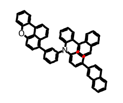 c1cc(-c2ccc3c4c(cccc24)-c2ccccc2O3)cc(N(c2ccc(-c3ccc4ccccc4c3)cc2)c2ccccc2-c2cccc3ccccc23)c1